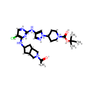 CC(=O)N1CC2CC(Nc3nc(Nc4cnn(C5CCN(C(=O)OC(C)(C)C)CC5)c4)ncc3Cl)CC2C1